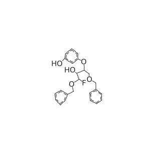 Oc1cccc(OC(COCc2ccccc2)C(O)C(F)OCc2ccccc2)c1